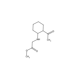 COC(=O)CNC1CCCCC1C(C)=O